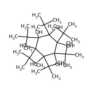 CC(C)(C)C1(O)C(O)(C(C)(C)C)C(O)(C(C)(C)C)C(O)(C(C)(C)C)C(O)(C(C)(C)C)C1(O)C(C)(C)C